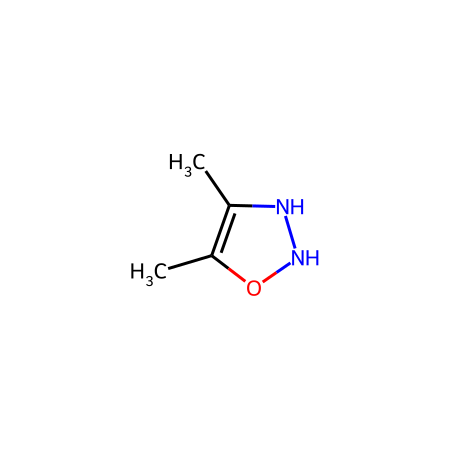 CC1=C(C)ONN1